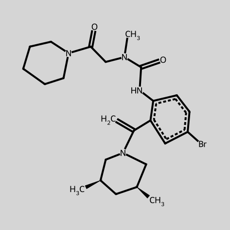 C=C(c1cc(Br)ccc1NC(=O)N(C)CC(=O)N1CCCCC1)N1C[C@H](C)C[C@H](C)C1